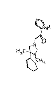 CN1CN(CC(=O)c2ccc[nH]2)CC1(C)C1CCCCC1